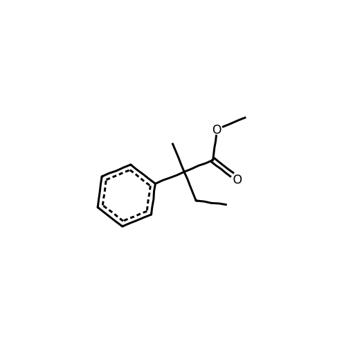 CCC(C)(C(=O)OC)c1ccccc1